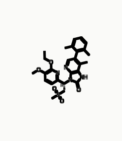 CCOc1nc([C@@H](CS(C)(=O)=O)n2c(=O)[nH]c3c(C)c(-c4c(C)cccc4C)cnc32)ccc1OC